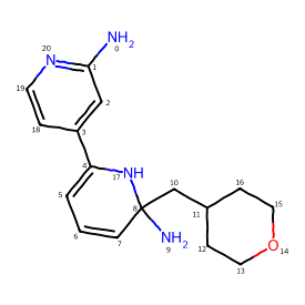 Nc1cc(C2=CC=CC(N)(CC3CCOCC3)N2)ccn1